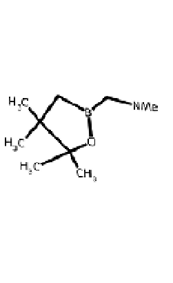 CNCB1CC(C)(C)C(C)(C)O1